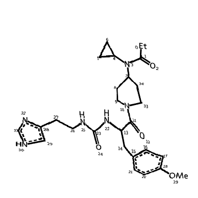 CCC(=O)N(C1CC1)C1CCN(C(=O)C(Cc2ccc(OC)cc2)NC(=O)NCCc2c[nH]cn2)CC1